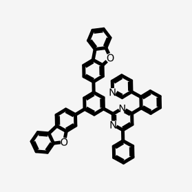 c1ccc(-c2cc(-c3ccccc3-c3cccnc3)nc(-c3cc(-c4ccc5c(c4)oc4ccccc45)cc(-c4ccc5c(c4)oc4ccccc45)c3)n2)cc1